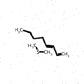 C=CC=CCCCC.CSC